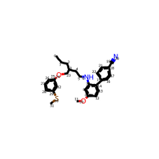 CCCC(CCNc1cc(OC)ccc1-c1ccc(C#N)cc1)COc1cccc(SC)c1